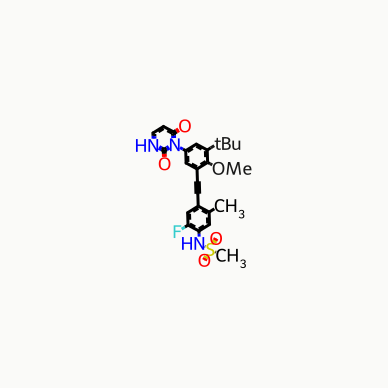 COc1c(C#Cc2cc(F)c(NS(C)(=O)=O)cc2C)cc(-n2c(=O)cc[nH]c2=O)cc1C(C)(C)C